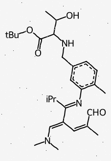 C/C(C=O)=C/C(=C\N(C)C)C(=N/c1cc(CNC(C(=O)OC(C)(C)C)C(C)O)ccc1C)/C(C)C